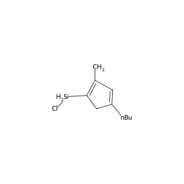 CCCCC1=CC(C)=C([SiH2]Cl)C1